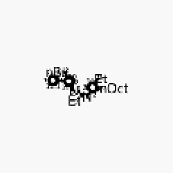 CCCCCCCCc1cc(N=C(C=Nc2ccc(CCCC)c(-c3ccccc3)c2)CC)ccc1CC